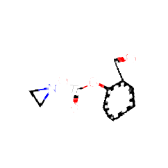 O=Cc1ccccc1[O][Ti](=[O])[O]N1CC1